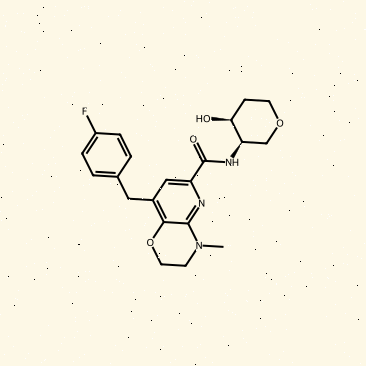 CN1CCOc2c(Cc3ccc(F)cc3)cc(C(=O)N[C@@H]3COCC[C@@H]3O)nc21